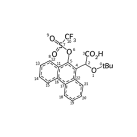 CC(C)(C)OC(C(=O)O)c1c(OS(=O)(=O)C(F)(F)F)c2ccccc2c2ccccc12